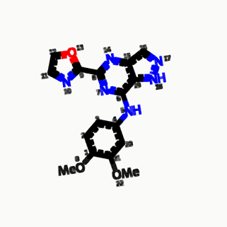 COc1ccc(Nc2nc(-c3ncco3)nc3cn[nH]c23)cc1OC